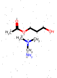 CC(=O)OCCCO.CN(C)C.N